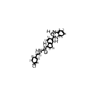 Nc1ccccc1NC(=O)c1ccc2c(c1)CCC2NC(=O)NCCc1ccc(Cl)cc1